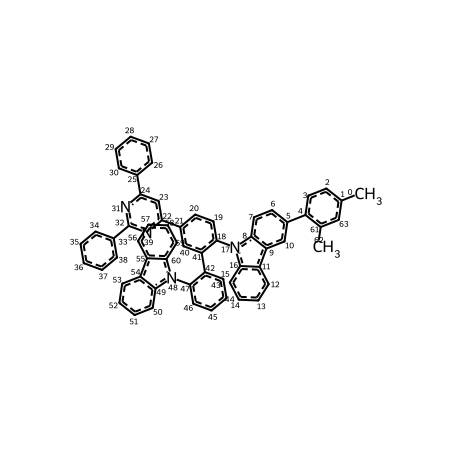 Cc1ccc(-c2ccc3c(c2)c2ccccc2n3-c2ccc(-c3cc(-c4ccccc4)nc(-c4ccccc4)n3)cc2-c2ccccc2-n2c3ccccc3c3ccccc32)c(C)c1